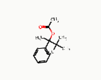 [CH2]C(=O)OC(C)(c1ccccc1)C(C)(C)C